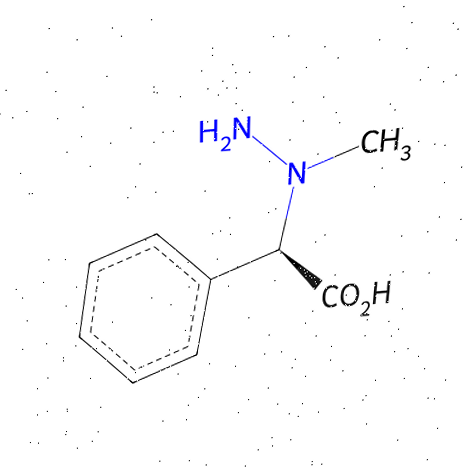 CN(N)[C@@H](C(=O)O)c1ccccc1